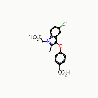 Cc1c(Oc2ccc(C(=O)O)cc2)c2cc(Cl)ccc2n1CC(=O)O